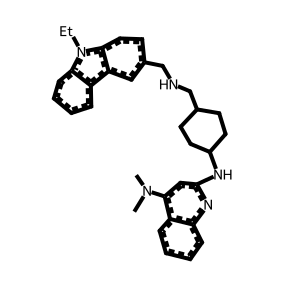 CCn1c2ccccc2c2cc(CNCC3CCC(Nc4cc(N(C)C)c5ccccc5n4)CC3)ccc21